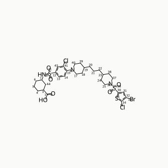 O=C(O)C1CCCC(NS(=O)(=O)c2ccc(N3CCC(CCCC4CCN(S(=O)(=O)c5cc(Br)c(Cl)s5)CC4)CC3)c(Cl)c2)C1